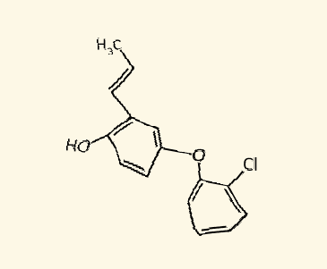 CC=Cc1cc(Oc2ccccc2Cl)ccc1O